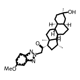 COc1ccc2nn(CC(=O)[C@H]3C[C@@H](C)[C@H]4[C@@H]5CC[C@@H]6C[C@](C)(O)CC[C@@H]6[C@H]5CC[C@@]43C)nc2c1